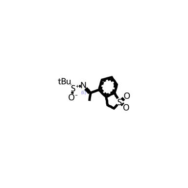 C/C(=N\[S+]([O-])C(C)(C)C)c1cccc2c1CCS2(=O)=O